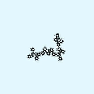 c1ccc(-c2cc(-c3ccccc3)nc(-n3c4ccccc4c4cc(-c5ccc6c(c5)c5ccccc5n6-c5cccc6c5sc5cccc(-c7cccc(-c8cc(-c9ccccc9)nc(-n9c%10ccccc%10c%10cc(-c%11ccc%12c(c%11)c%11ccccc%11n%12-c%11cccc%12c%11oc%11ccccc%11%12)ccc%109)n8)c7)c56)ccc43)n2)cc1